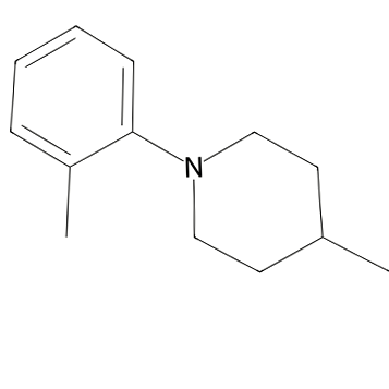 CCC1CCN(c2ccccc2C)CC1